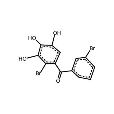 O=C(c1cccc(Br)c1)c1cc(O)c(O)c(O)c1Br